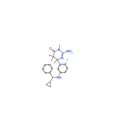 CN1C(=O)C(C)(C)C(C)(c2cc(NC(c3ccccc3)C3CC3)ccc2F)N=C1N